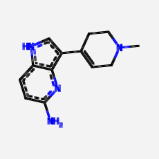 CN1CC=C(c2c[nH]c3ccc(N)nc23)CC1